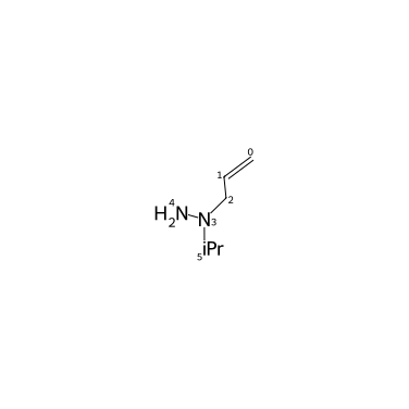 C=CCN(N)C(C)C